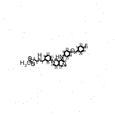 CS(=O)(=O)CCNCc1cccc(N2C=Cc3cncc(Nc4ccc(OCc5ccc(F)cc5)cc4)c3C2)c1